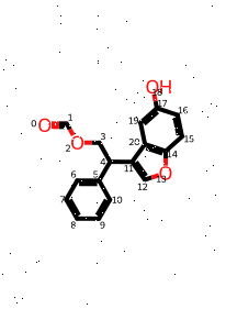 O=COCC(c1ccccc1)c1coc2ccc(O)cc12